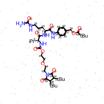 CC(C)[C@H](NC(=O)OCCOCCN1C(=O)C(C(C)(C)C)C(C(C)(C)C)C1=O)C(=O)N[C@@H](CCCNC(N)=O)C(=O)Nc1ccc(COC(=O)C(C)(C)C)cc1